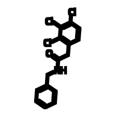 O=C(Cc1ccc(Cl)c(Cl)c1Cl)NCc1ccccc1